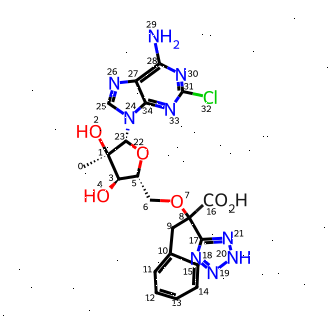 C[C@@]1(O)[C@H](O)[C@@H](COC(Cc2ccccc2)(C(=O)O)c2nn[nH]n2)O[C@H]1n1cnc2c(N)nc(Cl)nc21